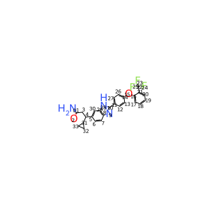 NC(=O)CC(c1ccc2nc(-c3ccc(Oc4ccccc4C(F)(F)F)cc3)[nH]c2c1)C1CC1